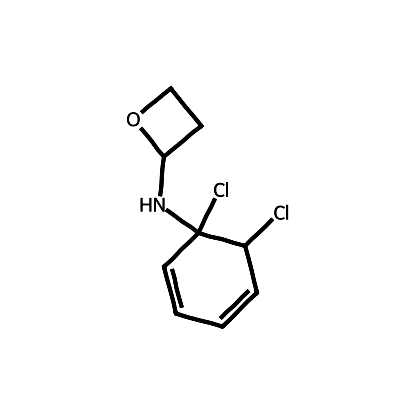 ClC1C=CC=CC1(Cl)NC1CCO1